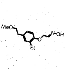 CCc1cc(CCOC)ccc1OC/C=N/O